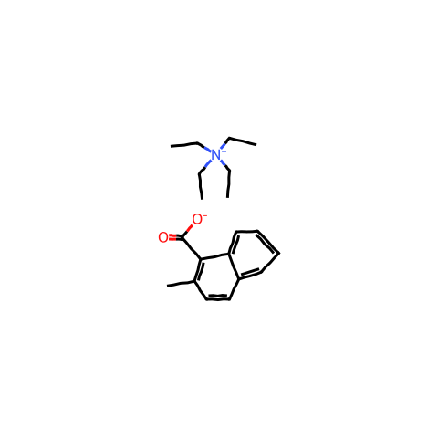 CC[N+](CC)(CC)CC.Cc1ccc2ccccc2c1C(=O)[O-]